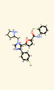 O=C(Nc1ccccc1F)c1ccc(-c2c(-c3ccc(F)cc3)ncn2CC2CCCN2)o1